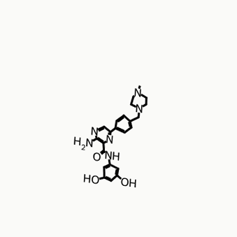 CN1CCN(Cc2ccc(-c3cnc(N)c(C(=O)Nc4cc(O)cc(O)c4)n3)cc2)CC1